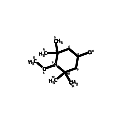 CON1C(C)(C)CC(Cl)CC1(C)C